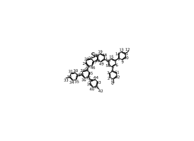 Cc1ccc(-c2cc(-c3ccc(C)cc3)cc(-c3ccc4sc5ccc(-c6cc(-c7ccc(C)cc7)cc(-c7ccc(C)cc7)c6)cc5c4c3)c2)cc1